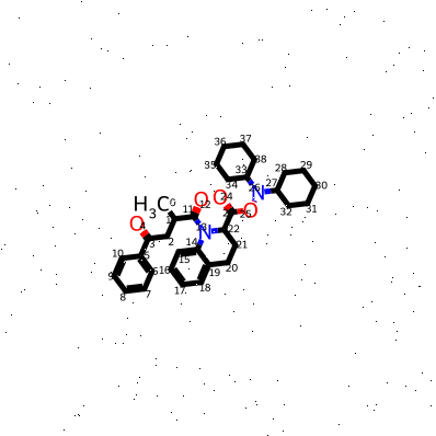 CC(CC(=O)c1ccccc1)C(=O)N1c2ccccc2CCC1C(=O)ON(C1CCCCC1)C1CCCCC1